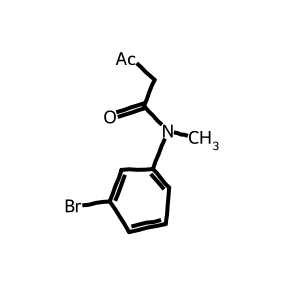 CC(=O)CC(=O)N(C)c1cccc(Br)c1